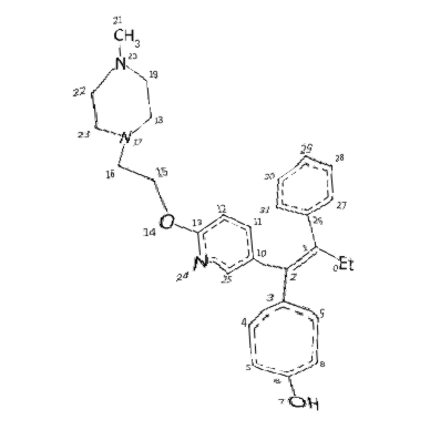 CC/C(=C(\c1ccc(O)cc1)c1ccc(OCCN2CCN(C)CC2)nc1)c1ccccc1